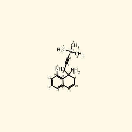 C[Si](C)(C)C#CCC1(N)CC=Cc2cccc(N)c21